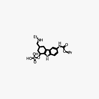 CCNCC1Cc2c([nH]c3ccc(NC(=O)OC(C)C)cc23)C(OP(=O)(O)O)C1